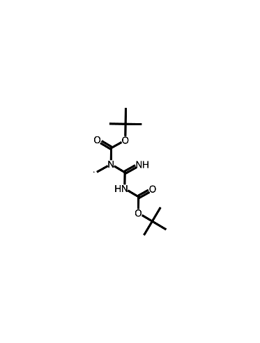 [CH2]N(C(=N)NC(=O)OC(C)(C)C)C(=O)OC(C)(C)C